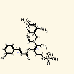 C/C(=C(\CCOP(=O)(O)O)SC(=O)/C=C/c1cccc(F)c1)N(C=O)Cc1cnc(C)nc1N